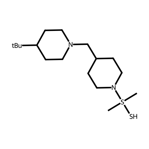 CC(C)(C)C1CCN(CC2CCN(S(C)(C)S)CC2)CC1